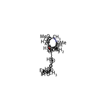 CCC(=O)NC(C(=O)N[C@@H](C)C(=O)Nc1ccc(COC(=O)NCCCCCC(=O)N(C)[C@@H]2C(=O)O[C@H]3CC(=O)N(C)c4cc(cc(OC)c4Cl)C/C(C)=C/C=C/[C@@H](OC)[C@@H](O)CC(OC(N)=O)[C@@H](C)C2C3C)cc1)C(C)C